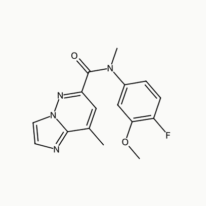 COc1cc(N(C)C(=O)c2cc(C)c3nccn3n2)ccc1F